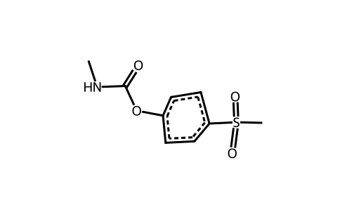 CNC(=O)Oc1ccc(S(C)(=O)=O)cc1